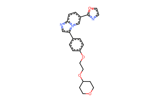 c1coc(-c2ccc3ncc(-c4ccc(OCCOC5CCOCC5)cc4)n3c2)n1